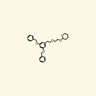 c1ccc(COc2cc(CCOCCOC3CCCCO3)cc(OCc3ccccc3)c2)cc1